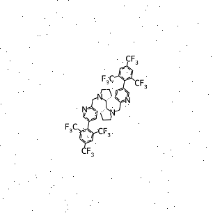 FC(F)(F)c1cc(C(F)(F)F)c(-c2ccc(CN3CCC[C@@H]3[C@H]3CCCN3Cc3ccc(-c4c(C(F)(F)F)cc(C(F)(F)F)cc4C(F)(F)F)cn3)nc2)c(C(F)(F)F)c1